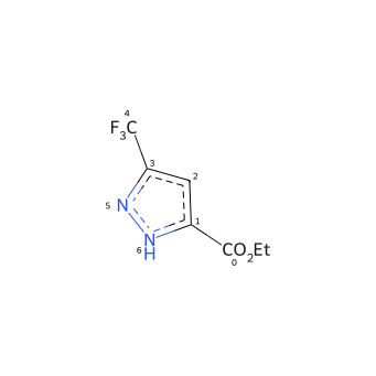 CCOC(=O)c1cc(C(F)(F)F)n[nH]1